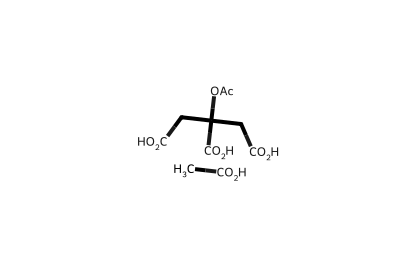 CC(=O)O.CC(=O)OC(CC(=O)O)(CC(=O)O)C(=O)O